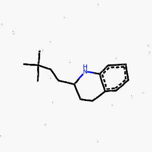 CC(C)(C)CCC1CCc2ccccc2N1